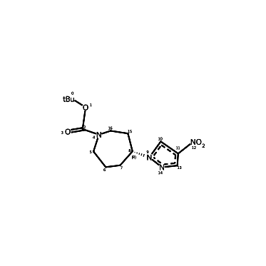 CC(C)(C)OC(=O)N1CCC[C@@H](n2cc([N+](=O)[O-])cn2)CC1